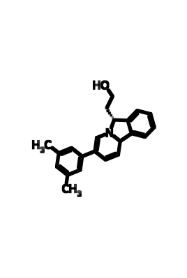 Cc1cc(C)cc(C2=CN3C(C=C2)c2ccccc2[C@H]3CCO)c1